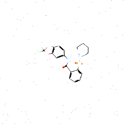 O=C(Nc1ccc2c(c1)OC(F)(F)O2)c1ccccc1S(=O)(=O)N1CCCCC1